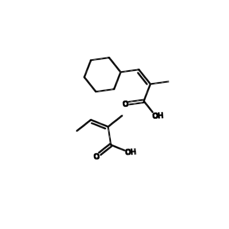 CC(=CC1CCCCC1)C(=O)O.CC=C(C)C(=O)O